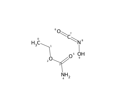 CCOC(N)=O.O=C=NO